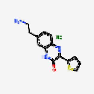 Cl.NCCc1ccc2nc(-c3cccs3)c(=O)[nH]c2c1